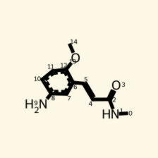 CNC(=O)C=Cc1cc(N)ccc1OC